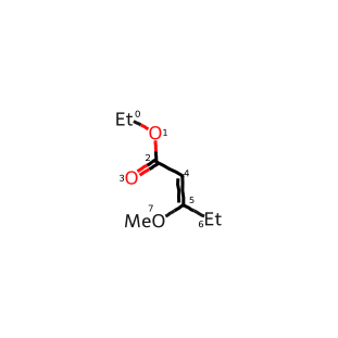 CCOC(=O)/C=C(/CC)OC